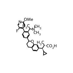 COc1cc(-c2ccc(C3CCc4ccc([C@H](C5CC5)[C@H](C)C(=O)O)cc4O3)cc2C(C)N(C)C)c(F)cn1